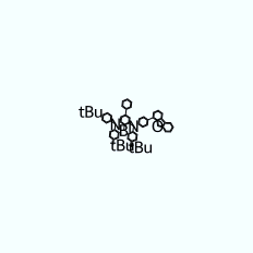 CC(C)(C)c1ccc(N2c3ccc(C(C)(C)C)cc3B3c4cc(C(C)(C)C)ccc4N(c4ccc(-c5cccc6c5oc5ccccc56)cc4)c4cc(-c5ccccc5)cc2c43)cc1